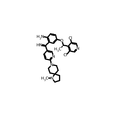 C[C@@H](Oc1ccc(N)c(C(=N)c2ccc(N3CCC4(CCCN4C)CC3)nc2)c1)c1c(Cl)cncc1Cl